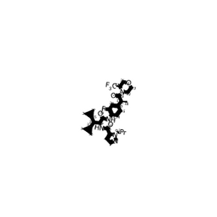 CC(C)n1nccc1C(=O)N[C@H](C(=O)Nc1ccc([C@H](C)C(=O)N2CCOC[C@@H]2C(F)(F)F)cc1F)C(C1CC1)C1CC1